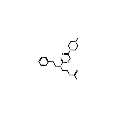 CC(=O)SCCN(CCc1ccccc1)C(=O)N[C@@H](C)C(=O)N1CCN(C)CC1